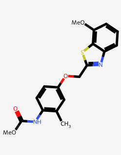 COC(=O)Nc1ccc(OCc2nc3cccc(OC)c3s2)cc1C